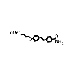 CCCCCCCCCCCCCCOc1ccc(C=Cc2ccc(C(N)=O)cc2)cc1